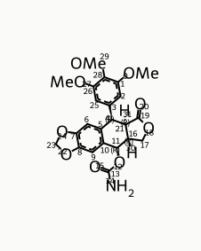 COc1cc([C@@H]2c3cc4c(cc3[C@H](OC(N)=O)[C@H]3COC(=O)[C@H]23)OCO4)cc(OC)c1OC